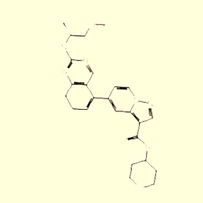 COC[C@H](C)Nc1ncc2c(n1)CCC=C2c1ccn2ncc(C(=O)NC3CCOCC3)c2c1